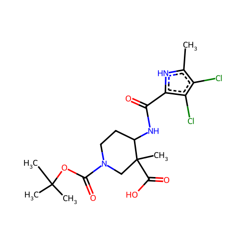 Cc1[nH]c(C(=O)NC2CCN(C(=O)OC(C)(C)C)CC2(C)C(=O)O)c(Cl)c1Cl